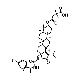 CC(C)C1=C2[C@H]3CC[C@@H]4[C@@]5(C)CC[C@H](OC(=O)CC(C)(C)C(=O)O)C(C)(C)[C@@H]5CC[C@@]4(C)[C@]3(C)CC[C@@]2(/C=C/C(=O)N[C@@H](C)c2ccc(Cl)cn2)CC1=O